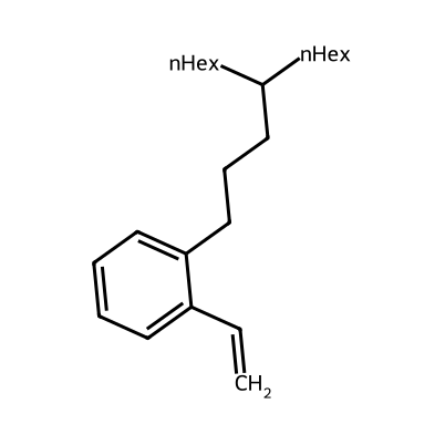 C=Cc1ccccc1CCCC(CCCCCC)CCCCCC